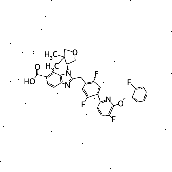 CC1(C)COC[C@H]1n1c(Cc2cc(F)c(-c3ccc(F)c(OCc4ccccc4F)n3)cc2F)nc2ccc(C(=O)O)cc21